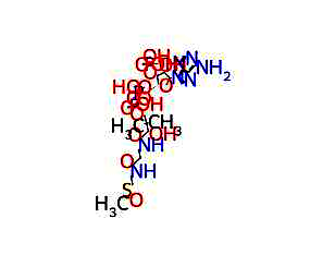 CC(=O)SCCNC(=O)CCNC(=O)C(O)C(C)(C)COP(=O)(O)OP(=O)(O)OC[C@H]1O[C@@H](n2cnc3c(N)ncnc32)[C@H](O)[C@@H]1OP(=O)(O)O